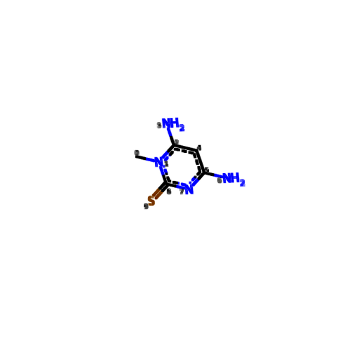 Cn1c(N)cc(N)nc1=S